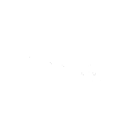 O=CC1CCC(N2CCN(c3ccc(N4CCC(=O)NC4=O)cc3)CC2)CC1